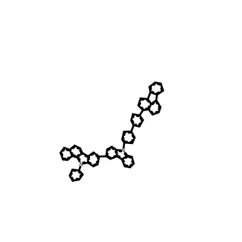 c1ccc(-n2c3ccc(-c4ccc5c(c4)c4ccccc4n5-c4ccc(-c5ccc(-c6ccc7c8c(cccc68)-c6ccccc6-7)cc5)cc4)cc3c3ccc4ccccc4c32)cc1